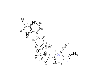 C=C(/C=C(C#N)\C=N/C)[C@@H]1CC[C@H]2OC3(CCN(c4ccnc5c(F)cnn45)CC3)C(=O)N21